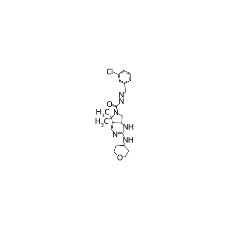 CC1(C)C2=CN=C(NC3CCOCC3)NC2CN1C(=O)N=NCc1cccc(Cl)c1